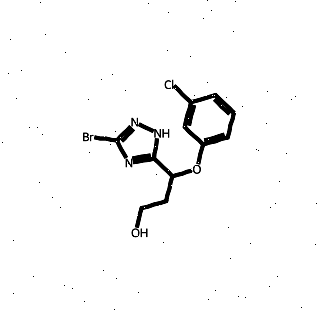 OCCC(Oc1cccc(Cl)c1)c1nc(Br)n[nH]1